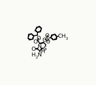 Cc1ccc(S(=O)(=O)OC2=C(C(=O)OC(c3ccccc3)c3ccccc3)N3C(=O)C(N)[C@H]3SC2)cc1